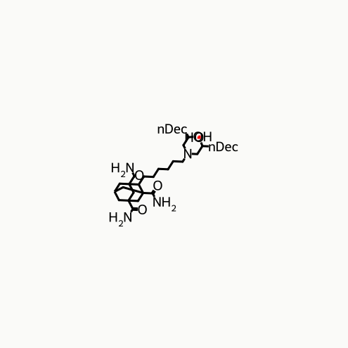 CCCCCCCCCCC(O)CN(CCCCCCC1C2(C(N)=O)CC3CC(C(N)=O)(C2)CC1(C(N)=O)C3)CC(O)CCCCCCCCCC